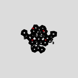 CC(C)(c1c(-c2cccc(C(F)(F)F)c2)c(-n2c3ccccc3c3c4c(ccc32)sc2ccccc24)c(C(C)(C)n2c3ccccc3c3ccccc32)c(-n2c3ccccc3c3c4c(ccc32)sc2ccccc24)c1-c1cccc(C(F)(F)F)c1)n1c2ccccc2c2ccccc21